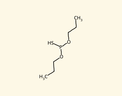 CCCOP(S)OCCC